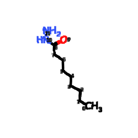 CCCCCCCCC(=O)NN